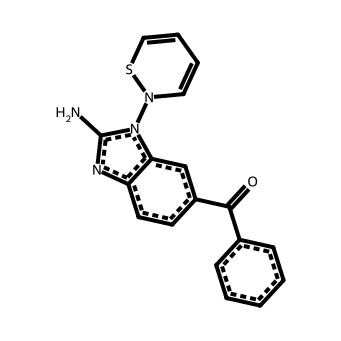 Nc1nc2ccc(C(=O)c3ccccc3)cc2n1N1C=CC=CS1